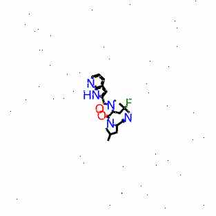 CC1CC(C#N)N(C(=O)C(CC(C)(C)F)N(C)C(=O)c2cc3cccnc3[nH]2)C1